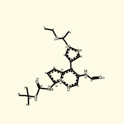 CCOC(C)n1cc(-c2c(NC=O)cnn3c(NC(=O)OC(C)(C)C)ccc23)cn1